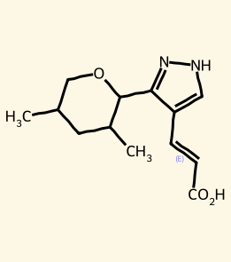 CC1COC(c2n[nH]cc2/C=C/C(=O)O)C(C)C1